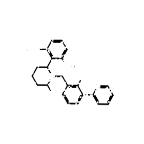 COc1cccc(OC)c1C1CCCC(C=O)N1Cc1cccc(-c2ccccn2)c1F